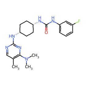 Cc1cnc(N[C@H]2CC[C@@H](NC(=O)Nc3cccc(F)c3)CC2)nc1N(C)C